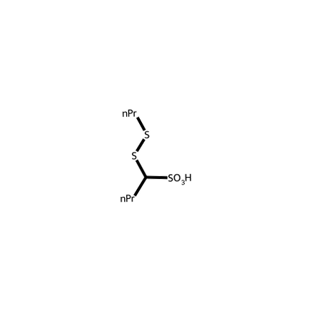 CCCSSC(CCC)S(=O)(=O)O